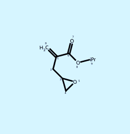 C=C(CC1CO1)C(=O)OC(C)C